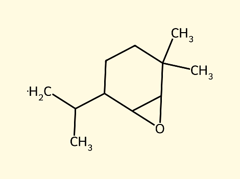 [CH2]C(C)C1CCC(C)(C)C2OC12